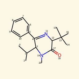 CC(C)C1C(c2ccccc2)=NC(C(C)(C)C)C(=O)N1C